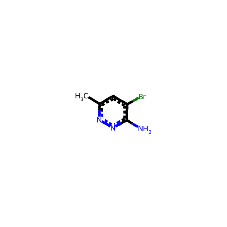 Cc1cc(Br)c(N)nn1